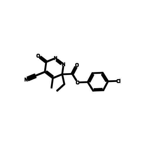 CCC1(C(=O)Oc2ccc(Cl)cc2)N=NC(=O)C(C#N)=C1C